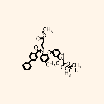 CCOC(=O)CCCN(C(=O)c1ccc(-c2ccccc2)cc1)c1ccc(Cl)cc1Oc1cccc([C@H](C)NC(=O)OC(C)(C)C)c1